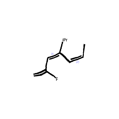 C=C(F)/C=C(\C=C/C)C(C)C